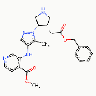 COC(=O)c1ccncc1Nc1cnn([C@@H]2CNC[C@@H]2CC(=O)OCc2ccccc2)c1C